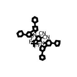 CC1(C)C(F)(F)c2c(-n3c4ccc(-c5ccccc5)cc4c4cc(-c5ccccc5)ccc43)c(C#N)c(C#N)c(-n3c4ccc(-c5ccccc5)cc4c4cc(-c5ccccc5)ccc43)c2C1(F)F